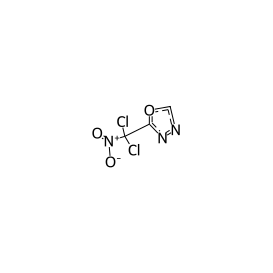 O=[N+]([O-])C(Cl)(Cl)c1nnco1